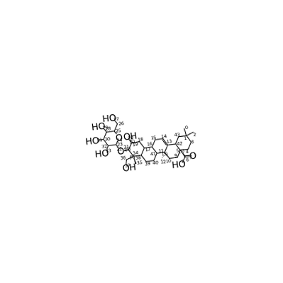 CC1(C)CC[C@]2(C(=O)O)CC[C@]3(C)C(=CCC4C5C[C@H](O)[C@H](OC6OC(CO)C(O)C(O)C6O)[C@@](C)(CO)C5CCC43)C2C1